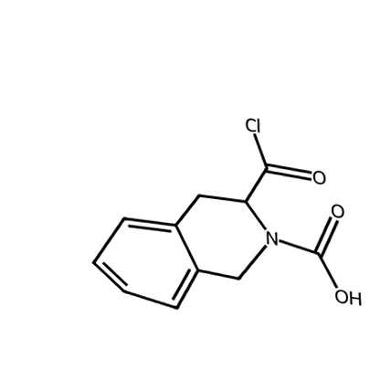 O=C(Cl)C1Cc2ccccc2CN1C(=O)O